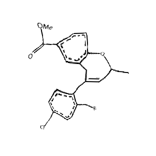 COC(=O)c1ccc2c(c1)C(c1ccc(Cl)cc1F)=CC(C)O2